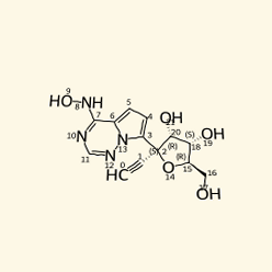 C#C[C@@]1(c2ccc3c(NO)ncnn23)O[C@H](CO)[C@@H](O)[C@H]1O